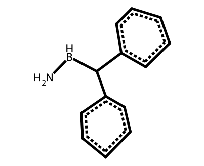 NBC(c1ccccc1)c1ccccc1